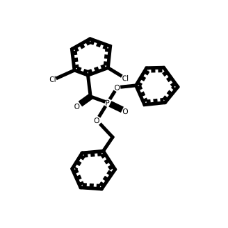 O=C(c1c(Cl)cccc1Cl)P(=O)(OCc1ccccc1)Oc1ccccc1